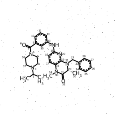 CC(C)N1CCN(C(=O)c2cccc(Nc3ccc4c(n3)N(Cc3ccccc3)[C@H](C)C(=O)N4C)c2)CC1